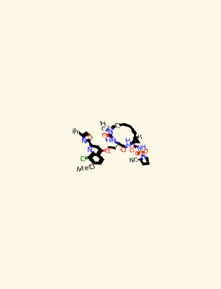 COc1ccc2c(OCC[C@@H]3NC(=O)N(C)CCCC/C=C\[C@@H]4C[C@@]4(C(=O)NS(=O)(=O)N4CCC[C@H]4C#N)NC3=O)cc(-c3nc(C(C)C)cs3)nc2c1Cl